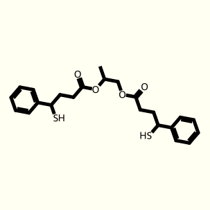 CC(COC(=O)CCC(S)c1ccccc1)OC(=O)CCC(S)c1ccccc1